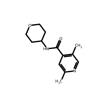 Cc1cc(C(=O)NC2CCOCC2)c(C)cn1